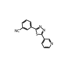 N#Cc1cccc(-c2nnc(-c3cccnc3)s2)c1